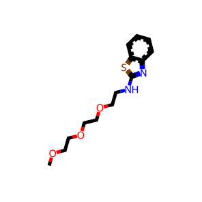 COCCOCCOCCNc1nc2ccccc2s1